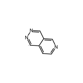 [c]1nncc2cnccc12